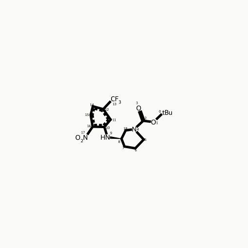 CC(C)(C)OC(=O)N1CCC[C@@H](Nc2cc(C(F)(F)F)ccc2[N+](=O)[O-])C1